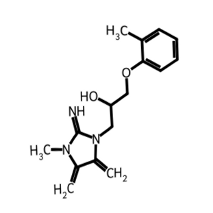 C=c1c(=C)n(CC(O)COc2ccccc2C)c(=N)n1C